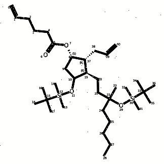 C=CCCCC(=O)O[C@H]1CC(O[Si](C)(C)C(C)(C)C)[C@H](CCC(C)(CCCCC)O[Si](C)(C)C(C)(C)C)[C@H]1CC=C